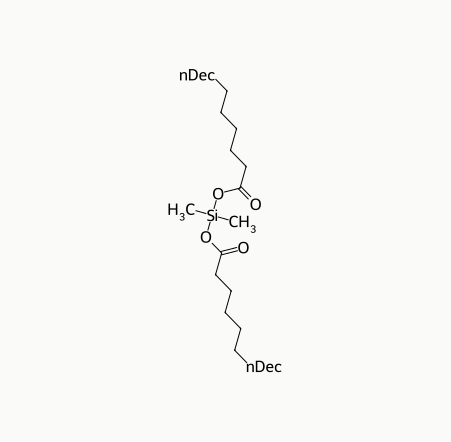 CCCCCCCCCCCCCCCC(=O)O[Si](C)(C)OC(=O)CCCCCCCCCCCCCCC